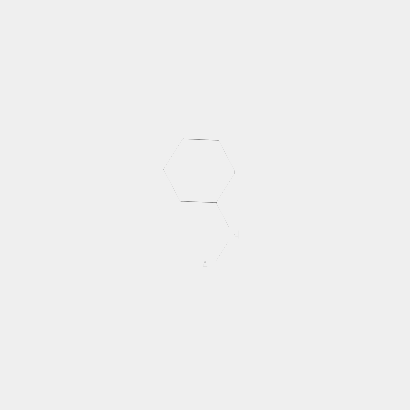 CC(=O)BC1CCCCC1